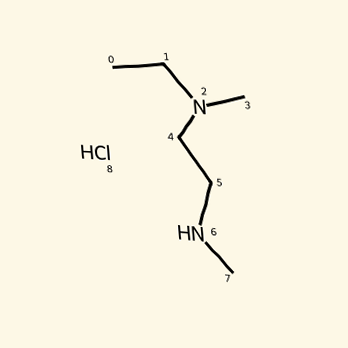 CCN(C)CCNC.Cl